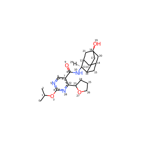 CC(C)Oc1ncc(C(=O)N[C@H]2C3CC4CC2C[C@@](O)(C4)C3)c(C2CCCO2)n1